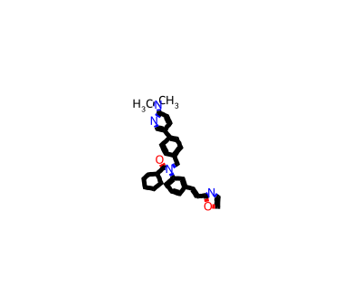 CN(C)c1ccc(-c2ccc(CN(C(=O)C3CCCCC3)c3cccc(C=Cc4ncco4)c3)cc2)cn1